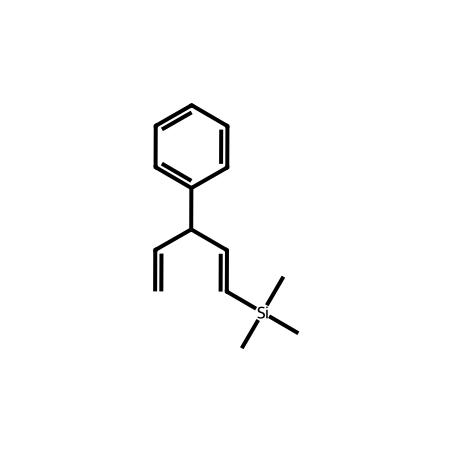 C=CC(C=C[Si](C)(C)C)c1ccccc1